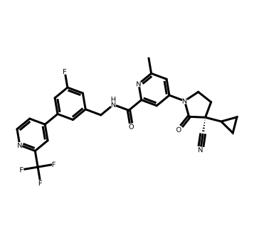 Cc1cc(N2CC[C@@](C#N)(C3CC3)C2=O)cc(C(=O)NCc2cc(F)cc(-c3ccnc(C(F)(F)F)c3)c2)n1